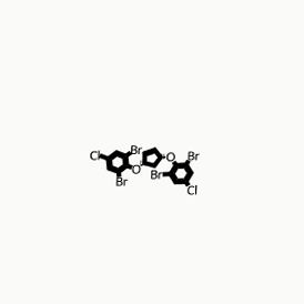 Clc1cc(Br)c(O[C@@H]2C=C[C@H](Oc3c(Br)cc(Cl)cc3Br)C2)c(Br)c1